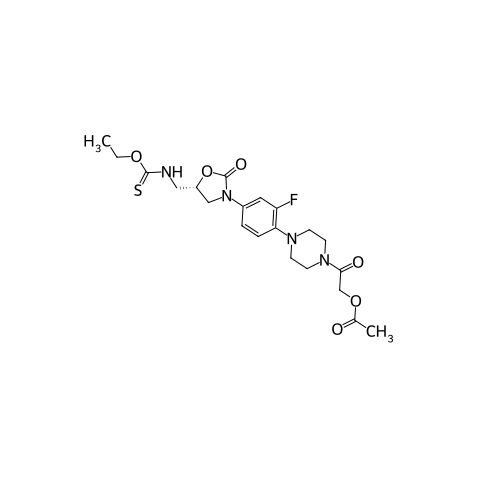 CCOC(=S)NC[C@H]1CN(c2ccc(N3CCN(C(=O)COC(C)=O)CC3)c(F)c2)C(=O)O1